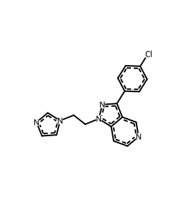 Clc1ccc(-c2nn(CCn3ccnc3)c3ccncc23)cc1